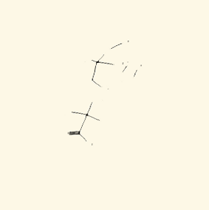 CC(C)(C)C(=O)O.CC(C)(C)CC(C)(C)OO.O=C(O)O.O=C(O)O